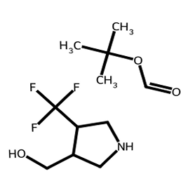 CC(C)(C)OC=O.OCC1CNCC1C(F)(F)F